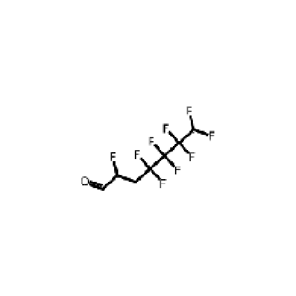 O=CC(F)CC(F)(F)C(F)(F)C(F)(F)[C](F)F